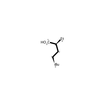 CC[C@H](C)CC[C@H](CC)C(=O)O